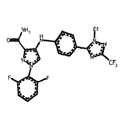 CCn1nc(C(F)(F)F)nc1-c1ccc(Nc2cn(-c3c(F)cccc3F)nc2C(N)=O)cc1